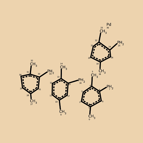 Cc1ccc(C)c(P)c1.Cc1ccc(C)c(P)c1.Cc1ccc(C)c(P)c1.Cc1ccc(C)c(P)c1.[Pd]